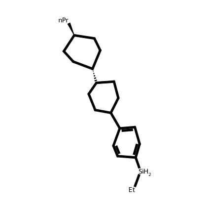 CCC[C@H]1CC[C@H](C2CCC(c3ccc([SiH2]CC)cc3)CC2)CC1